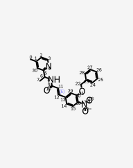 Cc1ccnc(C(C)NC(=O)/C=C/c2ccc([N+](=O)[O-])c(OCc3ccccc3)c2)c1